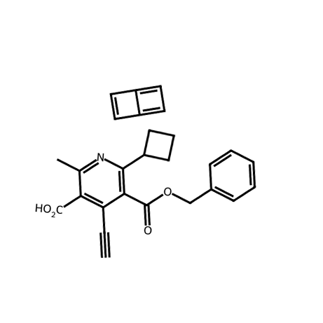 C#Cc1c(C(=O)O)c(C)nc(C2CCC2)c1C(=O)OCc1ccccc1.c1cc2ccc1-2